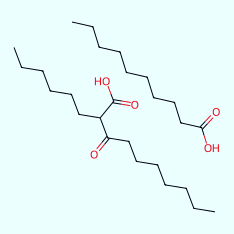 CCCCCCCC(=O)C(CCCCCC)C(=O)O.CCCCCCCCCC(=O)O